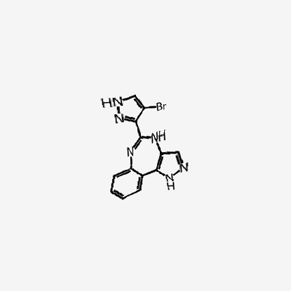 Brc1c[nH]nc1C1=Nc2ccccc2-c2[nH]ncc2N1